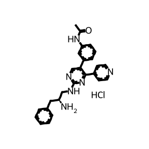 CC(=O)Nc1cccc(-c2cnc(NC[C@@H](N)Cc3ccccc3)nc2-c2ccncc2)c1.Cl